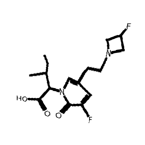 CCC(C)C(C(=O)O)n1cc(CCN2CC(F)C2)cc(F)c1=O